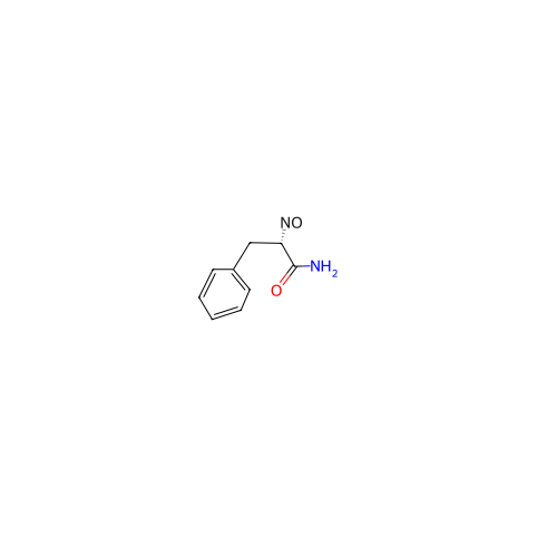 NC(=O)[C@H](Cc1ccccc1)N=O